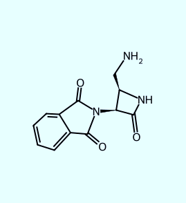 NC[C@H]1NC(=O)[C@H]1N1C(=O)c2ccccc2C1=O